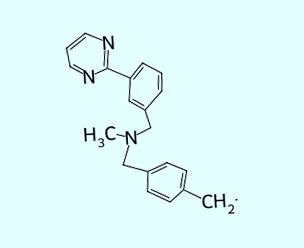 [CH2]c1ccc(CN(C)Cc2cccc(-c3ncccn3)c2)cc1